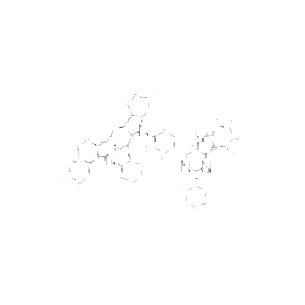 c1ccc(-c2nc(-c3ccc(-n4c5ccccc5c5cc6c7ccc8ccccc8c7n7c8ccccc8c(c54)c67)cc3)c3sc4ccccc4c3n2)cc1